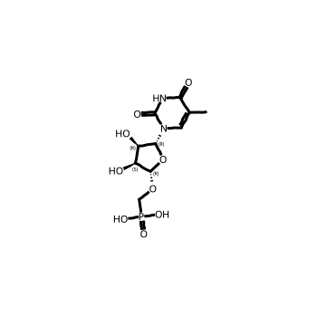 Cc1cn([C@@H]2O[C@H](OCP(=O)(O)O)[C@@H](O)[C@H]2O)c(=O)[nH]c1=O